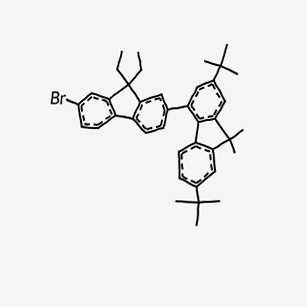 CCC1(CC)c2cc(Br)ccc2-c2ccc(-c3cc(C(C)(C)C)cc4c3-c3ccc(C(C)(C)C)cc3C4(C)C)cc21